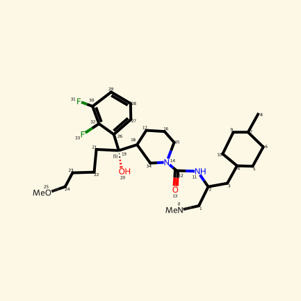 CNCC(CC1CCC(C)CC1)NC(=O)N1CCCC([C@@](O)(CCCCOC)c2cccc(F)c2F)C1